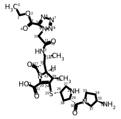 CCOC(=O)c1nnnn1CC(=O)N[C@H](C)[C@H]1C(=O)N2C(C(=O)O)=C(S[C@@H]3CN[C@H](C(=O)N4CC[C@@H](N)C4)C3)[C@H](C)[C@H]12